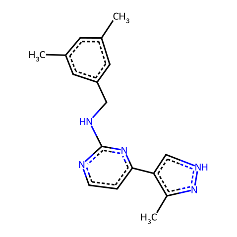 Cc1cc(C)cc(CNc2nccc(-c3c[nH]nc3C)n2)c1